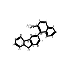 Nc1ccc2ccccc2c1-c1ccc2c(c1)C1C=CC=CC1C2